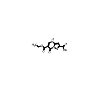 CCOC(=O)c1c[nH]c2cc(C(=O)O)nn2c1=O